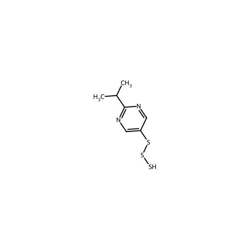 CC(C)c1ncc(SSS)cn1